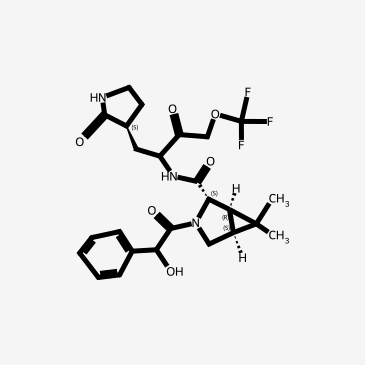 CC1(C)[C@@H]2[C@@H](C(=O)NC(C[C@@H]3CCNC3=O)C(=O)COC(F)(F)F)N(C(=O)C(O)c3ccccc3)C[C@@H]21